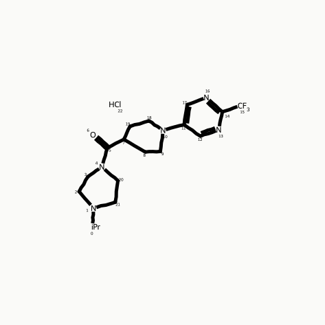 CC(C)N1CCN(C(=O)C2CCN(c3cnc(C(F)(F)F)nc3)CC2)CC1.Cl